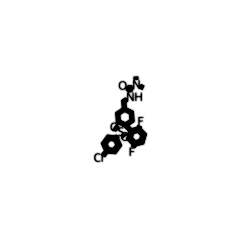 CN(C)C(=O)NCC1CCC(c2cc(F)ccc2F)(S(=O)(=O)c2ccc(Cl)cc2)CC1